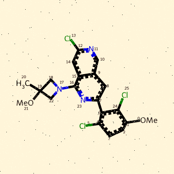 COc1ccc(Cl)c(-c2cc3cnc(Cl)cc3c(N3CC(C)(OC)C3)n2)c1Cl